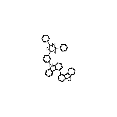 c1ccc(-c2nc(-c3ccccc3)nc(-c3cccc(-n4c5ccccc5c5c(-c6cccc7oc8ccccc8c67)cccc54)c3)n2)cc1